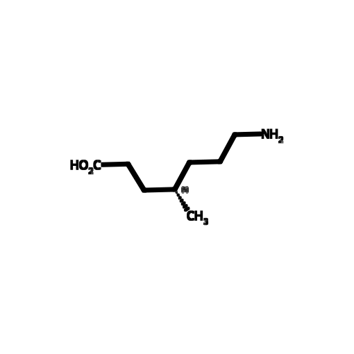 C[C@@H](CCCN)CCC(=O)O